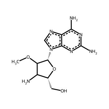 COC1C(N)[C@@H](CO)O[C@H]1n1cnc2c(N)nc(N)nc21